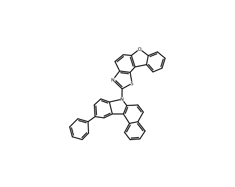 c1ccc(-c2ccc3c(c2)c2c4ccccc4ccc2n3-c2nc3ccc4oc5ccccc5c4c3s2)cc1